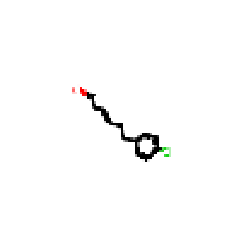 O=[C]CC=CCCc1ccc(Cl)cc1